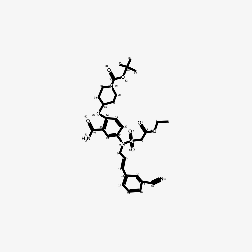 CCOC(=O)CS(=O)(=O)N(C/C=C/c1cccc(C#N)c1)c1ccc(OC2CCN(C(=O)OC(C)(C)C)CC2)c(C(N)=O)c1